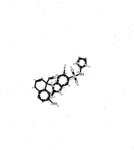 Nc1ccc2c(c1)C(C=O)(n1c(=O)oc3cc(S(=O)(=O)Nc4nccs4)c(F)cc31)C=CC2